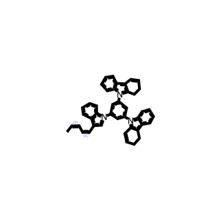 C/C=C\C=C/c1cn(-c2cc(-n3c4c(c5ccccc53)CCC=C4)cc(-n3c4c(c5ccccc53)C=CCC4)c2)c2ccccc12